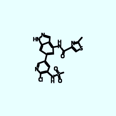 Cc1nc(C(=O)Nc2cc(-c3cnc(Cl)c(NS(C)(=O)=O)c3)cc3[nH]ncc23)cs1